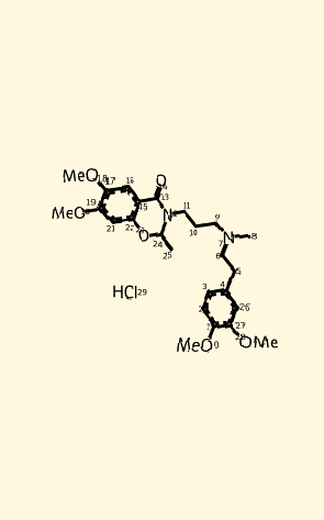 COc1ccc(CCN(C)CCCN2C(=O)c3cc(OC)c(OC)cc3OC2C)cc1OC.Cl